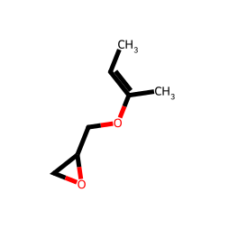 CC=C(C)OCC1CO1